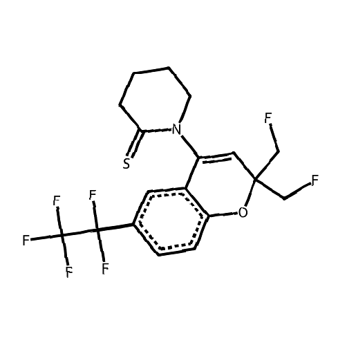 FCC1(CF)C=C(N2CCCCC2=S)c2cc(C(F)(F)C(F)(F)F)ccc2O1